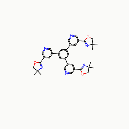 CC1(C)COC(c2cncc(-c3cc(-c4cncc(C5=NC(C)(C)CO5)c4)cc(-c4cncc(C5=NC(C)(C)CO5)c4)c3)c2)=N1